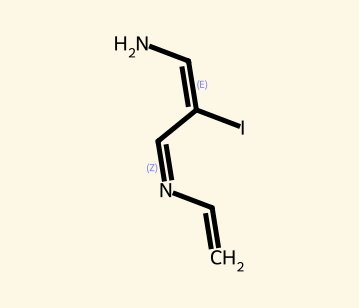 C=C/N=C\C(I)=C/N